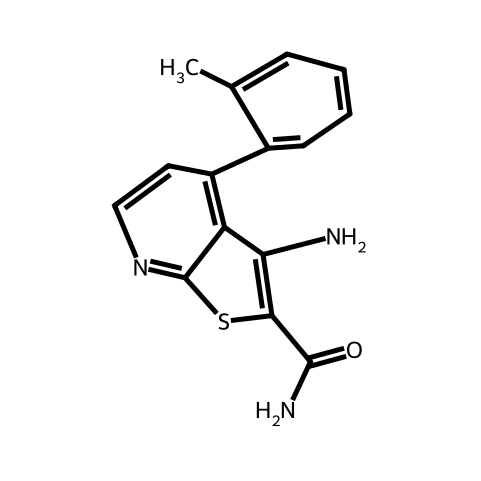 Cc1ccccc1-c1ccnc2sc(C(N)=O)c(N)c12